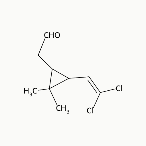 CC1(C)C(C=C(Cl)Cl)C1CC=O